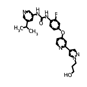 CC(C)c1cncc(NC(=O)Nc2ccc(Oc3ccnc(-c4cnn(CCCO)c4)c3)cc2F)c1